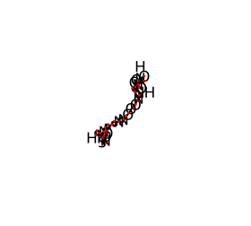 O=C1CCC(N2C(=O)c3cccc(NC4CN(CCOCCOCCOCCN5CCN(c6ccc(-c7ccc8c(c7)C(=O)N(C(C(=O)Nc7nccs7)c7ccccc7)C8)cc6)CC5)C4)c3C2=O)C(=O)N1